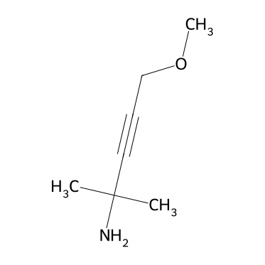 COCC#CC(C)(C)N